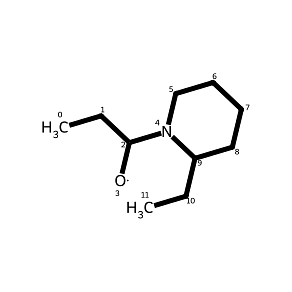 CCC([O])N1CCCCC1CC